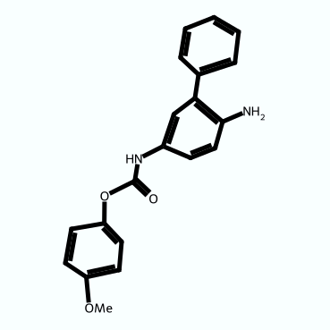 COc1ccc(OC(=O)Nc2ccc(N)c(-c3ccccc3)c2)cc1